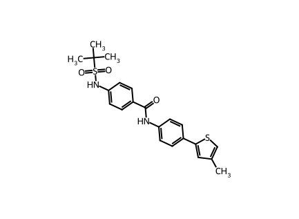 Cc1csc(-c2ccc(NC(=O)c3ccc(NS(=O)(=O)C(C)(C)C)cc3)cc2)c1